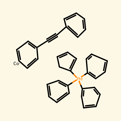 C(#Cc1ccccc1)c1ccccc1.C1=CCC([PH](c2ccccc2)(c2ccccc2)c2ccccc2)=C1.[Co]